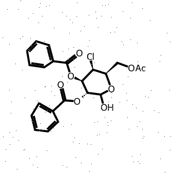 CC(=O)OC[C@H]1OC(O)[C@H](OC(=O)c2ccccc2)[C@@H](OC(=O)c2ccccc2)[C@H]1Cl